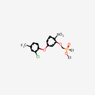 CCOP(=O)(CC)COc1cc(Oc2ccc(C(F)(F)F)cc2Cl)ccc1[N+](=O)[O-]